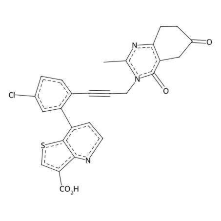 Cc1nc2c(c(=O)n1CC#Cc1ccc(Cl)cc1-c1ccnc3c(C(=O)O)csc13)CC(=O)CC2